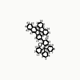 c1ccc(C2(c3ccccc3)c3ccccc3Oc3c(-c4ccc5c(c4)C4(c6ccccc6-c6ccccc64)c4cc6ccccc6cc4-5)cccc32)cc1